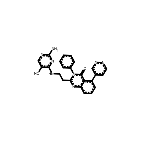 N#Cc1cnc(N)nc1NCCc1nc2cccc(-c3ccnnc3)c2c(=O)n1-c1ccccc1